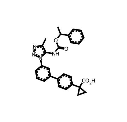 Cc1nnn(-c2cccc(-c3ccc(C4(C(=O)O)CC4)cc3)c2)c1NC(=O)OC(C)c1ccccc1